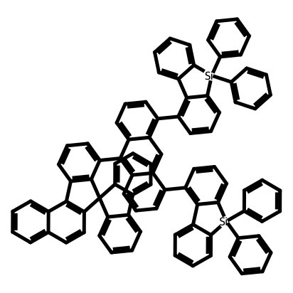 c1ccc([Si]2(c3ccccc3)c3ccccc3-c3c(-c4cccc5c(-c6cccc7c6C6(c8ccccc8-c8ccccc86)c6ccc8ccccc8c6-7)c6cccc(-c7cccc8c7-c7ccccc7[Si]8(c7ccccc7)c7ccccc7)c6cc45)cccc32)cc1